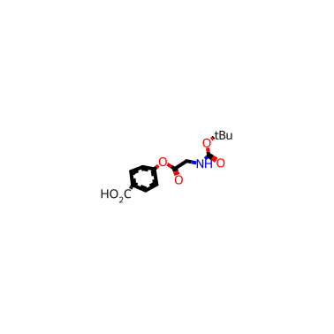 CC(C)(C)OC(=O)NCC(=O)Oc1ccc(C(=O)O)cc1